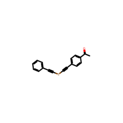 CC(=O)c1ccc(C#CSC#Cc2ccccc2)cc1